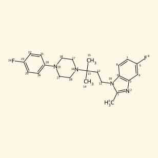 Cc1nc2cc(F)ccc2n1CCC(C)(C)N1CCN(c2ccc(F)cc2)CC1